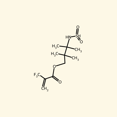 C=C(C(=O)OCC(C)(C)C(C)(C)N[SH](=O)=O)C(F)(F)F